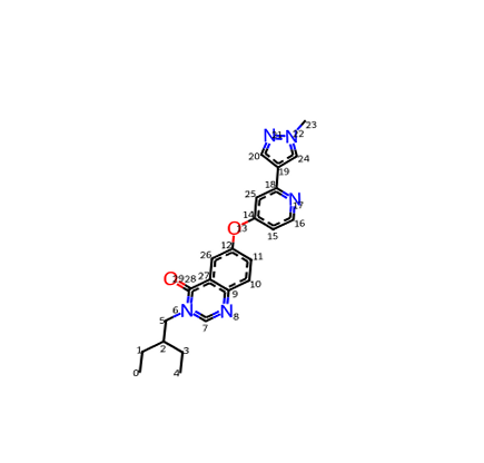 CCC(CC)Cn1cnc2ccc(Oc3ccnc(-c4cnn(C)c4)c3)cc2c1=O